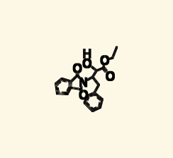 CCOC(=O)C(O)C(Cc1ccccc1)N1C(=O)c2ccccc2C1=O